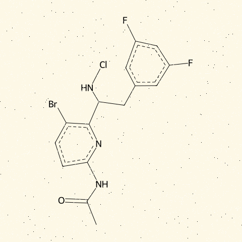 CC(=O)Nc1ccc(Br)c(C(Cc2cc(F)cc(F)c2)NCl)n1